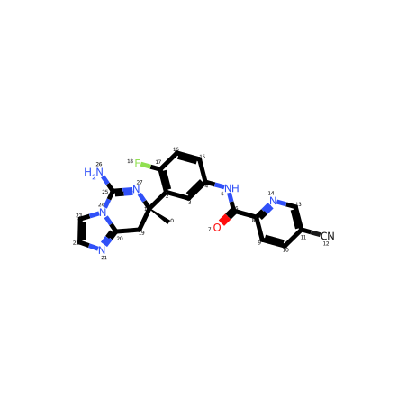 C[C@@]1(c2cc(NC(=O)c3ccc(C#N)cn3)ccc2F)Cc2nccn2C(N)=N1